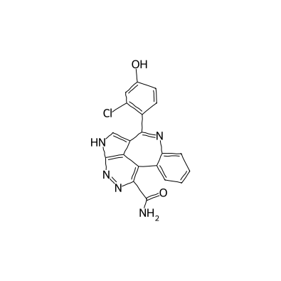 NC(=O)c1nnc2[nH]cc3c2c1-c1ccccc1N=C3c1ccc(O)cc1Cl